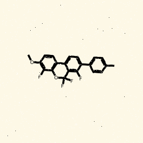 COc1ccc2c(c1F)OC(F)(F)c1c-2ccc(-c2ccc(C)cc2)c1F